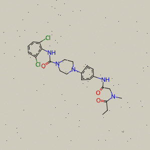 CCC(=O)N(C)CC(=O)Nc1ccc(N2CCN(C(=O)Nc3c(Cl)cccc3Cl)CC2)cc1